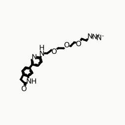 [N-]=[N+]=NCCOCCOCCOCCNc1ccc(-c2ccc3c(c2)NC(=O)C3)cn1